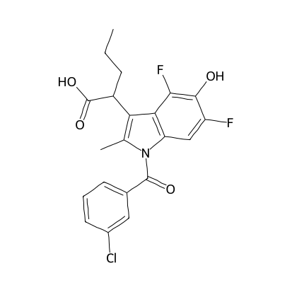 CCCC(C(=O)O)c1c(C)n(C(=O)c2cccc(Cl)c2)c2cc(F)c(O)c(F)c12